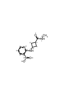 CNC(=O)C1CC(Nc2ncccc2[N+](=O)[O-])C1